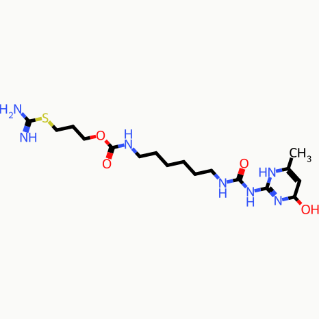 CC1=CC(O)N=C(NC(=O)NCCCCCCNC(=O)OCCCSC(=N)N)N1